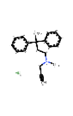 C#CCN(C)CCC(OC)(c1ccccc1)c1ccccc1.Cl